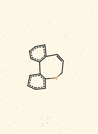 C1=Cc2ccccc2-c2ccccc2SC1